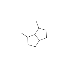 CC1CCC2CCC(C)C12